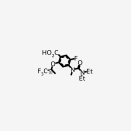 CCN(CC)C(=O)N(C)c1cc(O[C@@H](C)C(F)(F)F)c(C(=O)O)cc1F